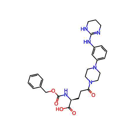 O=C(N[C@@H](CCC(=O)N1CCN(c2cccc(NC3=NCCCN3)c2)CC1)C(=O)O)OCc1ccccc1